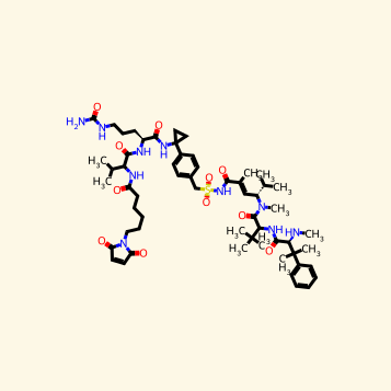 CN[C@H](C(=O)NC(C(=O)N(C)[C@H](/C=C(\C)C(=O)NS(=O)(=O)Cc1ccc(C2(NC(=O)[C@H](CCCNC(N)=O)NC(=O)C(NC(=O)CCCCCN3C(=O)C=CC3=O)C(C)C)CC2)cc1)C(C)C)C(C)(C)C)C(C)(C)c1ccccc1